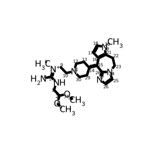 COC(CNC(N)=[N+](C)CCN1CCC(=C2c3ccn(C)c3CCn3ccnc32)CC1)OC